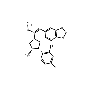 CS/C(=N/c1ccc2c(c1)OCO2)N1C[C@H](c2ccc(F)cc2Cl)[C@@H](C)C1